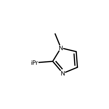 CC(C)c1nccn1C